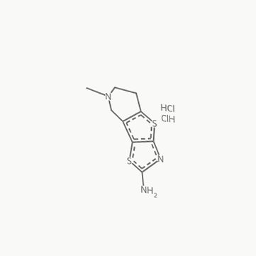 CN1CCc2sc3nc(N)sc3c2C1.Cl.Cl